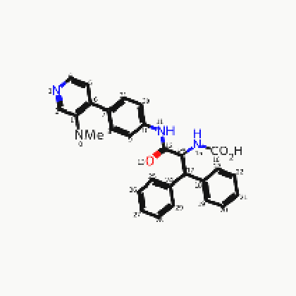 CNc1cnccc1-c1ccc(NC(=O)[C@@H](NC(=O)O)C(c2ccccc2)c2ccccc2)cc1